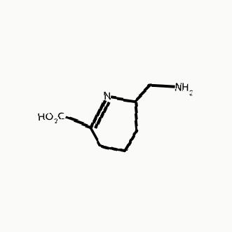 NCC1CCCC(C(=O)O)=N1